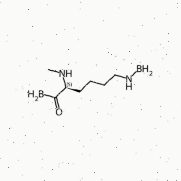 BNCCCC[C@H](NC)C(B)=O